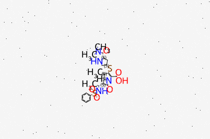 CC(NS(=O)(=O)c1ccccc1)[C@H]1C(=O)N2C(C(=O)O)=C(S[C@@H]3CN[C@H](C(=O)N(C)C)C3)[C@H](C)[C@H]12